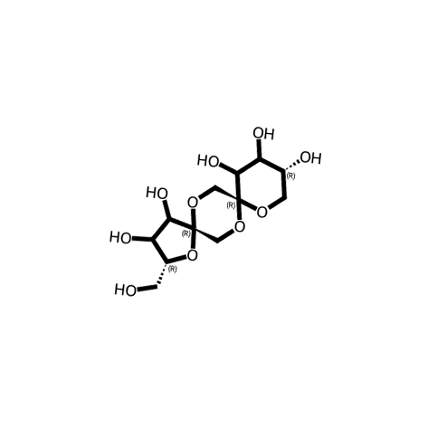 OC[C@H]1O[C@]2(CO[C@@]3(CO2)OC[C@@H](O)C(O)C3O)C(O)C1O